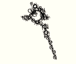 COCCOCCOCCOCCOC[C@@]1(F)CC=C(c2nccc(COc3ccc4cc3C[C@H](C(=O)OC(C)(C)C)Oc3ncnc5sc(-c6ccc(F)cc6)c(c35)-c3c(C)c(Cl)c(c(Cl)c3C)O[C@H](CN3CCN(C)CC3)CO4)n2)CC1